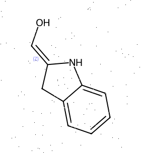 O/C=C1/Cc2ccccc2N1